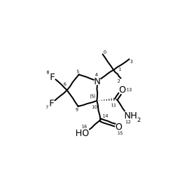 CC(C)(C)N1CC(F)(F)C[C@]1(C(N)=O)C(=O)O